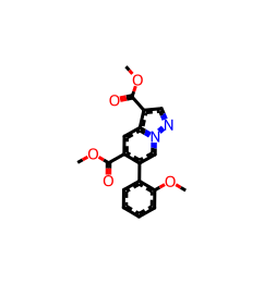 COC(=O)c1cc2c(C(=O)OC)cnn2cc1-c1ccccc1OC